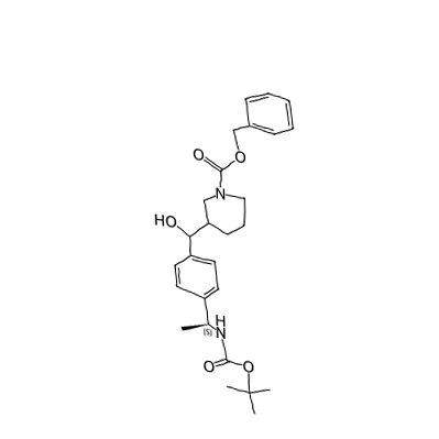 C[C@H](NC(=O)OC(C)(C)C)c1ccc(C(O)C2CCCN(C(=O)OCc3ccccc3)C2)cc1